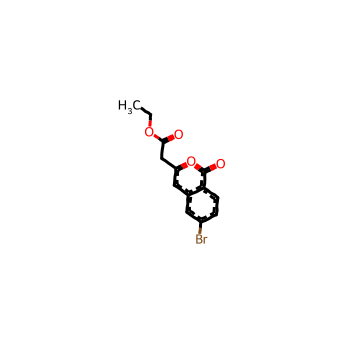 CCOC(=O)Cc1cc2cc(Br)ccc2c(=O)o1